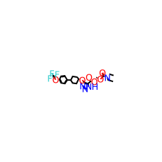 CCN(CC)C(=O)OCOC(=O)c1[nH]nnc1OC1CCC(c2ccc(OC(F)(F)F)cc2)CC1